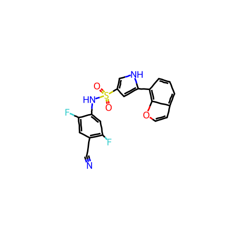 N#Cc1cc(F)c(NS(=O)(=O)c2c[nH]c(-c3cccc4ccoc34)c2)cc1F